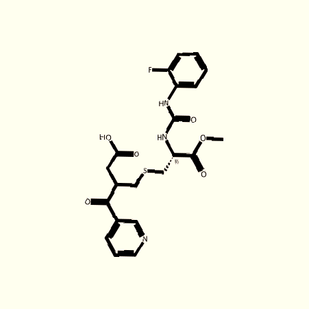 COC(=O)[C@H](CSCC(CC(=O)O)C(=O)c1cccnc1)NC(=O)Nc1ccccc1F